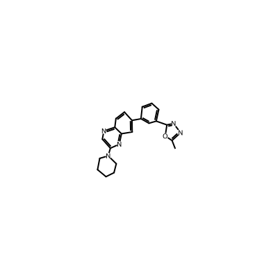 Cc1nnc(-c2cccc(-c3ccc4ncc(N5CCCCC5)nc4c3)c2)o1